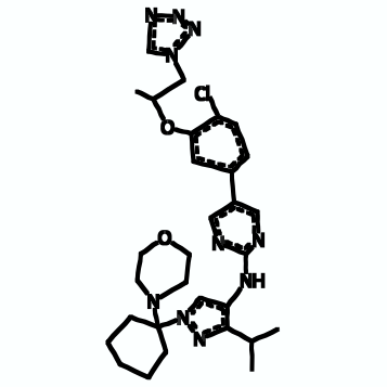 CC(Cn1cnnn1)Oc1cc(-c2cnc(Nc3cn(C4(N5CCOCC5)CCCCC4)nc3C(C)C)nc2)ccc1Cl